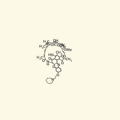 CO[C@H]1/C=C/O[C@@]2(C)Oc3c(C)c(O)c4c(=O)c(c5oc6cc(OCCN7CCCCCC7)ccc6nc-5c4c3C2=O)NC(=O)/C(C)=C\C=C\[C@H](C)[C@@H]2O[C@H]([C@H](O)[C@@H]2C)[C@H](OC(C)=O)[C@@H]1C